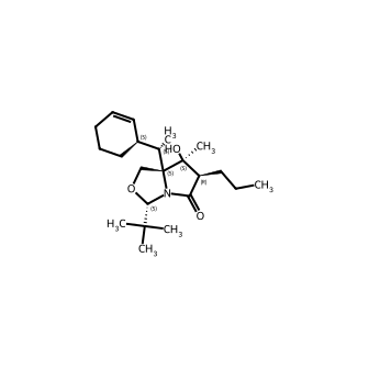 CCC[C@H]1C(=O)N2[C@H](C(C)(C)C)OC[C@@]2([C@@H](C)[C@@H]2C=CCCC2)[C@@]1(C)O